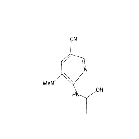 CNc1cc(C#N)cnc1NC(C)O